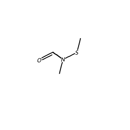 CSN(C)C=O